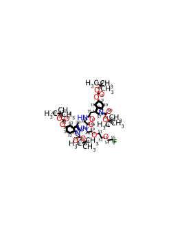 CC(C)(C)OC(=O)Oc1ccc2c(c1)c(CC(=O)N[C@@H](Cc1cn(C(=O)OC(C)(C)C)c3ccc(OC(=O)OC(C)(C)C)cc13)C(=O)NCCOCCOCCF)cn2C(=O)OC(C)(C)C